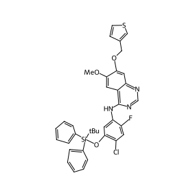 COc1cc2c(Nc3cc(O[Si](c4ccccc4)(c4ccccc4)C(C)(C)C)c(Cl)cc3F)ncnc2cc1OCc1ccsc1